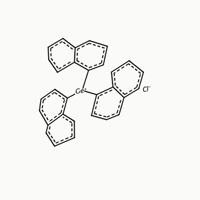 [Cl-].c1ccc2[c]([Ge+]([c]3cccc4ccccc34)[c]3cccc4ccccc34)cccc2c1